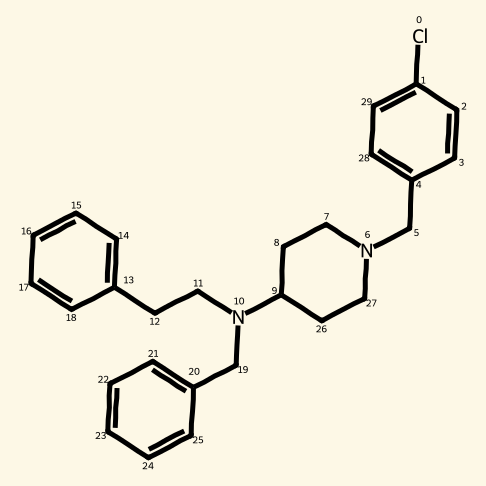 Clc1ccc(CN2CCC(N(CCc3ccccc3)Cc3ccccc3)CC2)cc1